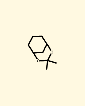 CC1(C)OC2CCCC(C2)O1